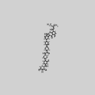 CCN(C)SNc1ccc(F)c(C(=O)c2c[nH]c3ncc(-c4ccc(N5CCN(C(=O)NC6CCN(c7ccc(NC8CCC(=O)NC8=O)cc7F)CC6)CC5)nc4)cc23)c1F